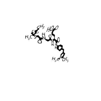 C=CC(C)(CCCC)SCC(=O)NCC(=O)N[C@@H](CCC(=O)O)C(=O)Nc1ccc(CC2C=C(C)N(C)C2)cc1